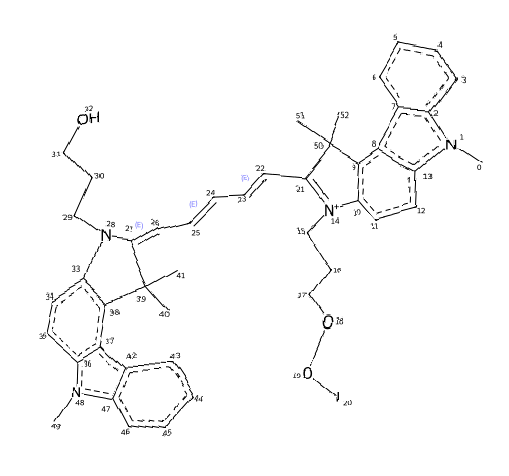 Cn1c2ccccc2c2c3c(ccc21)[N+](CCCOOI)=C(/C=C/C=C/C=C1/N(CCCO)c2ccc4c(c2C1(C)C)c1ccccc1n4C)C3(C)C